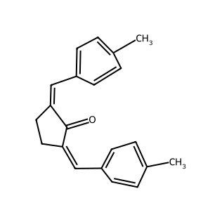 Cc1ccc(C=C2CCC(=Cc3ccc(C)cc3)C2=O)cc1